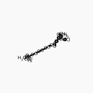 CC(=O)N1c2ccc(-c3ccc(N(C=O)CCOCCOCCOCCOCCOCCOCCOCCNC(=O)OC(C)(C)C)cc3)cc2[C@H](Nc2ccc(Cl)cc2)C[C@@H]1C